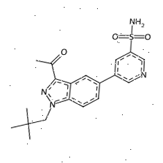 CC(=O)c1nn(CC(C)(C)C)c2ccc(-c3cncc(S(N)(=O)=O)c3)cc12